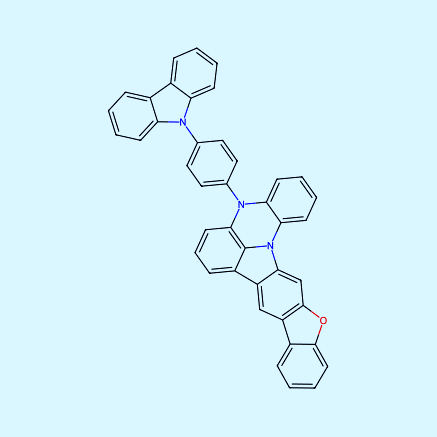 c1ccc2c(c1)N(c1ccc(-n3c4ccccc4c4ccccc43)cc1)c1cccc3c4cc5c(cc4n-2c13)oc1ccccc15